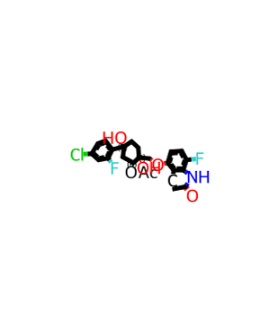 CC(=O)O[C@@H]1C[C@@](O)(c2ccc(Cl)cc2F)CC[C@@]1(O)COc1ccc(F)c2c1CCC(=O)N2